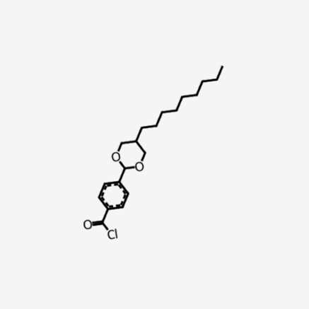 CCCCCCCCCC1COC(c2ccc(C(=O)Cl)cc2)OC1